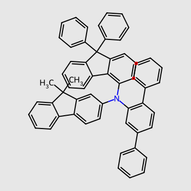 CC1(C)c2ccccc2-c2ccc(N(c3cc(-c4ccccc4)ccc3-c3ccccc3)c3cccc4c3-c3ccccc3C4(c3ccccc3)c3ccccc3)cc21